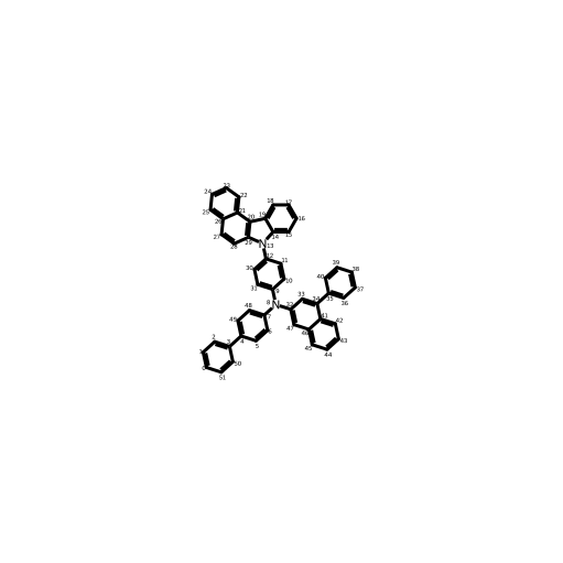 c1ccc(-c2ccc(N(c3ccc(-n4c5ccccc5c5c6ccccc6ccc54)cc3)c3cc(-c4ccccc4)c4ccccc4c3)cc2)cc1